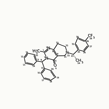 Cc1nc2c(c(=O)n1C(c1ccccc1)c1ccccc1)CN([C@@H](C)c1ccc(C(F)(F)F)cc1)CC2